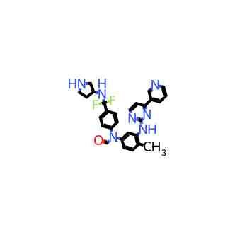 Cc1ccc(N(C=O)c2ccc(C(F)(F)NC3CCNC3)cc2)cc1Nc1nccc(-c2cccnc2)n1